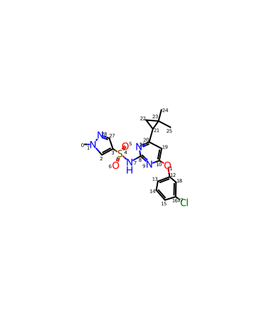 Cn1cc(S(=O)(=O)Nc2nc(Oc3cccc(Cl)c3)cc(C3CC3(C)C)n2)cn1